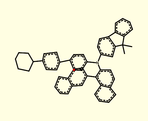 CC1(C)c2ccccc2-c2ccc(N(c3ccc(-c4ccc(C5CCCCC5)cc4)cc3)c3ccc4ccccc4c3-c3ccc4ccccc4c3)cc21